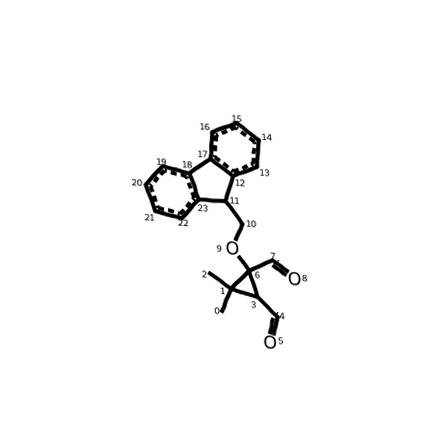 CC1(C)C([C]=O)C1([C]=O)OCC1c2ccccc2-c2ccccc21